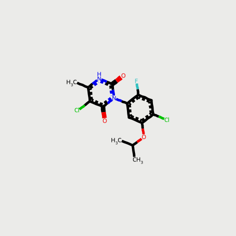 Cc1[nH]c(=O)n(-c2cc(OC(C)C)c(Cl)cc2F)c(=O)c1Cl